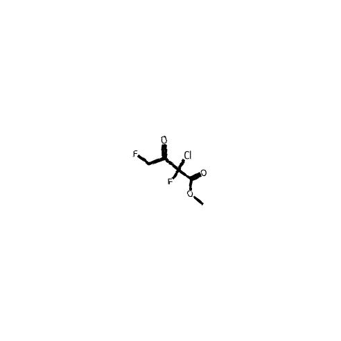 COC(=O)C(F)(Cl)C(=O)CF